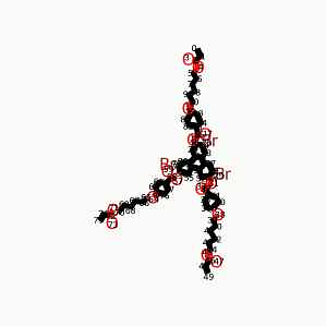 C=CC(=O)OCCCCCCOc1ccc(C(=O)Oc2cc3c(cc2Br)c2cc(Br)c(OC(=O)c4ccc(OCCCCCCOC(=O)C=C)cc4)cc2c2cc(OC(=O)c4ccc(OCCCCCCOC(=O)C=C)cc4)c(Br)cc32)cc1